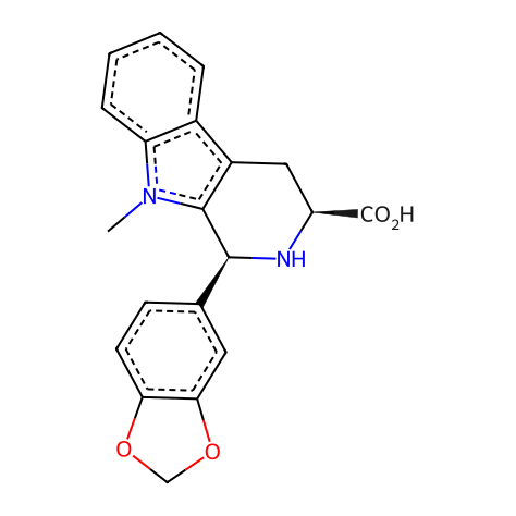 Cn1c2c(c3ccccc31)C[C@@H](C(=O)O)N[C@H]2c1ccc2c(c1)OCO2